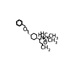 C=CCC(N[S+]([O-])C(C)(C)C)[C@H]1CC[C@H](CCOCc2ccccc2)CC1